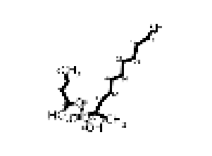 CCCC(O)OP(=O)(O)C(C)CCCCCCCCS